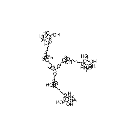 CCOCC(COCCCOP(=O)(O)OCCCCCCOC1OC(CO)C(O)C(O)C1NC(C)=O)(COCCCOP(=O)(O)OCCCCCCOC1OC(CO)C(O)C(O)C1NC(C)=O)COCCCOP(=O)(O)OCCCCCCOC(OC(CO)[C@@H](C)O)[C@H](CO)NC(C)=O